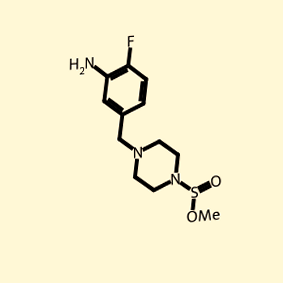 COS(=O)N1CCN(Cc2ccc(F)c(N)c2)CC1